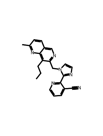 CCCc1c(Cn2ccnc2-c2ncccc2C#N)ncc2ccc(C)nc12